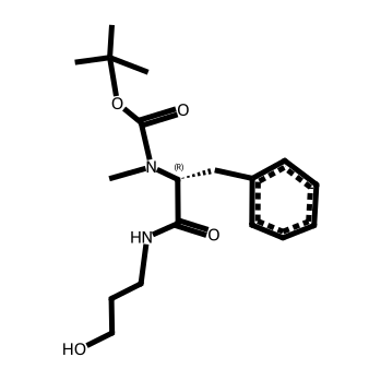 CN(C(=O)OC(C)(C)C)[C@H](Cc1ccccc1)C(=O)NCCCO